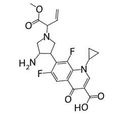 C=CC(C(=O)OC)N1CC(N)C(c2c(F)cc3c(=O)c(C(=O)O)cn(C4CC4)c3c2F)C1